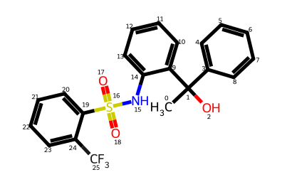 CC(O)(c1ccccc1)c1ccccc1NS(=O)(=O)c1ccccc1C(F)(F)F